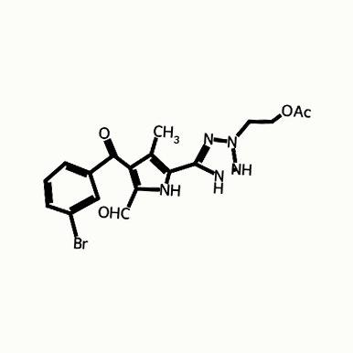 CC(=O)OCCN1N=C(c2[nH]c(C=O)c(C(=O)c3cccc(Br)c3)c2C)NN1